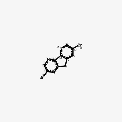 Brc1cnc2c(c1)Cc1cc(Br)cnc1-2